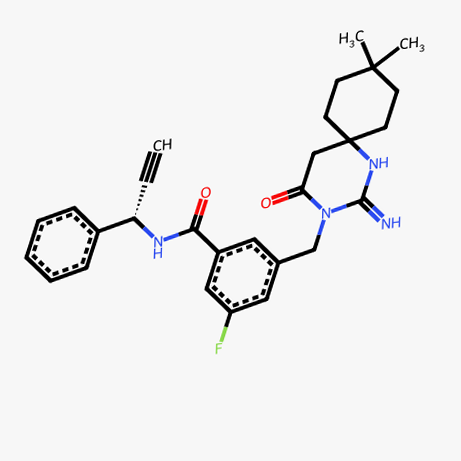 C#C[C@H](NC(=O)c1cc(F)cc(CN2C(=N)NC3(CCC(C)(C)CC3)CC2=O)c1)c1ccccc1